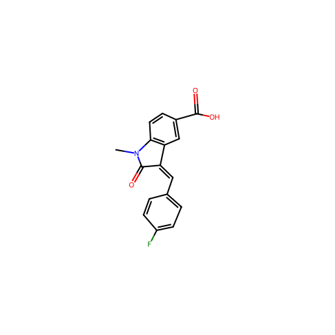 CN1C(=O)C(=Cc2ccc(F)cc2)c2cc(C(=O)O)ccc21